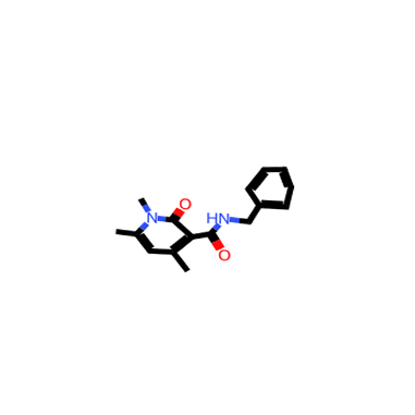 Cc1cc(C)n(C)c(=O)c1C(=O)NCc1ccccc1